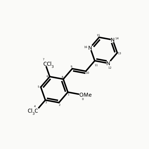 COc1cc(C(Cl)(Cl)Cl)cc(C(Cl)(Cl)Cl)c1/C=C/c1ncncn1